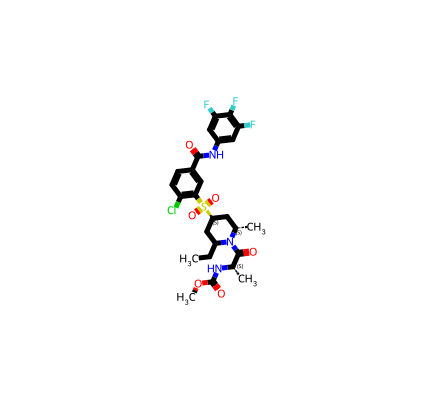 CCC1C[C@@H](S(=O)(=O)c2cc(C(=O)Nc3cc(F)c(F)c(F)c3)ccc2Cl)C[C@H](C)N1C(=O)[C@H](C)NC(=O)OC